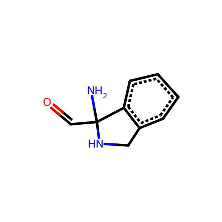 NC1(C=O)NCc2ccccc21